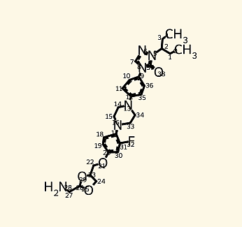 CCC(CC)n1ncn(-c2ccc(N3CCN(c4ccc(OCC5COC(CN)O5)cc4F)CC3)cc2)c1=O